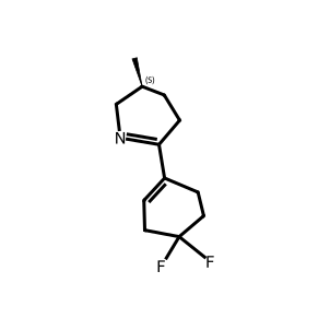 C[C@H]1CCC(C2=CCC(F)(F)CC2)=NC1